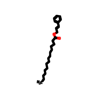 CCCCCCCCCCCCCCCC(=O)OCC=Cc1ccccc1